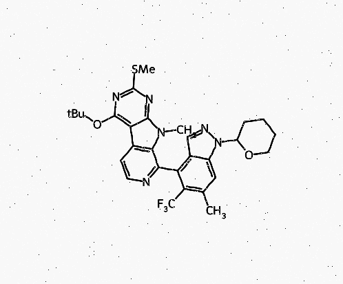 CSc1nc(OC(C)(C)C)c2c3ccnc(-c4c(C(F)(F)F)c(C)cc5c4cnn5C4CCCCO4)c3n(C)c2n1